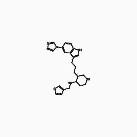 c1cc(CNC2CCNCC2CCCc2c[nH]c3ccc(-n4cnnc4)cc23)co1